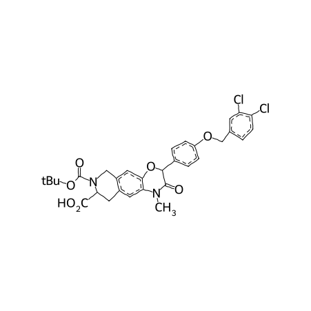 CN1C(=O)C(c2ccc(OCc3ccc(Cl)c(Cl)c3)cc2)Oc2cc3c(cc21)CC(C(=O)O)N(C(=O)OC(C)(C)C)C3